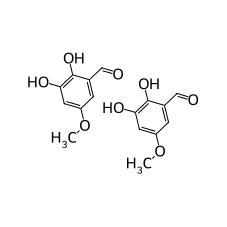 COc1cc(O)c(O)c(C=O)c1.COc1cc(O)c(O)c(C=O)c1